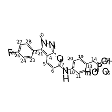 Cn1ncc(/C=C\C(=O)Nc2ccc(CP(=O)(O)O)cc2)c1-c1ccc(F)cc1